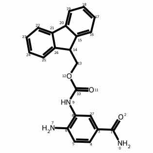 NC(=O)c1ccc(N)c(NC(=O)OCC2c3ccccc3-c3ccccc32)c1